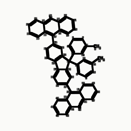 Cc1cccc(C2(c3cccc(C)c3)c3cc(-c4c5ccccc5nc5ccccc45)ccc3-c3ccc(-c4c5ccccc5nc5ccccc45)cc32)c1